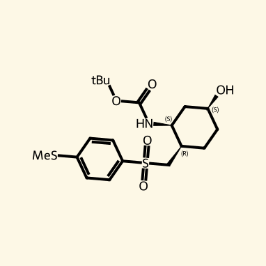 CSc1ccc(S(=O)(=O)C[C@@H]2CC[C@H](O)C[C@@H]2NC(=O)OC(C)(C)C)cc1